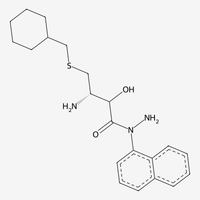 N[C@H](CSCC1CCCCC1)C(O)C(=O)N(N)c1cccc2ccccc12